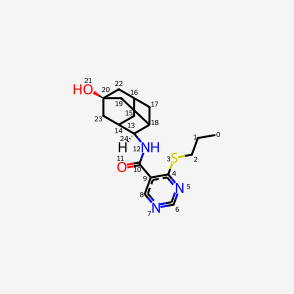 CCCSc1ncncc1C(=O)N[C@H]1C2CC3CC1C[C@@](O)(C3)C2